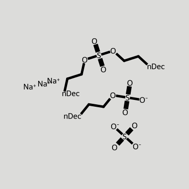 CCCCCCCCCCCCOS(=O)(=O)OCCCCCCCCCCCC.CCCCCCCCCCCCOS(=O)(=O)[O-].O=S(=O)([O-])[O-].[Na+].[Na+].[Na+]